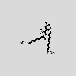 CCCCCCCCCCCCCCCCCCN(C)C(CN(C)C)C(CN(C)CCCCCCCCCCCCCCCC)N(C)C